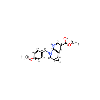 COC(=O)c1cnc2c(c1)C1CC1CN2Cc1ccc(OC)cc1